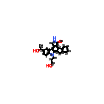 CCC(O)c1ccc2c(c1)c1c3c(c4c(c1n2CCCO)Cc1ccccc1-4)C(=O)NC3